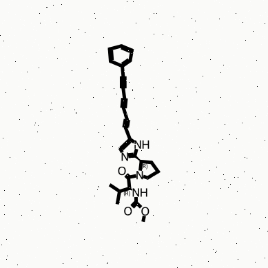 COC(=O)N[C@@H](C(=O)N1CCC[C@@H]1c1ncc(C#CC#CC#Cc2ccccc2)[nH]1)C(C)C